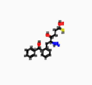 N[C@@H](Cc1ccccc1C(=O)c1ccccc1)C(=O)CCC(O)=S